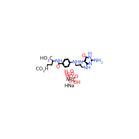 Nc1nc2c(c(=O)[nH]1)N=C(CNc1ccc(C(=O)NC(CCC(=O)O)C(=O)O)cc1)CN2.O.O.[NaH].[O]=[Mo](=[O])([OH])[OH]